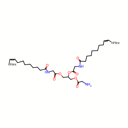 CCCCCC/C=C\CCCCCCCC(=O)NCC(=O)OCC(COC(=O)CN)OC(=O)CNC(=O)CCCCCCC/C=C\CCCCCC